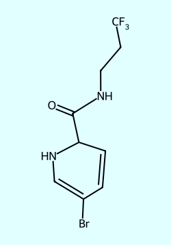 O=C(NCCC(F)(F)F)C1C=CC(Br)=CN1